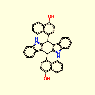 Oc1ccc(C2c3[nH]c4ccccc4c3C(c3ccc(O)c4ccccc34)c3[nH]c4ccccc4c32)c2ccccc12